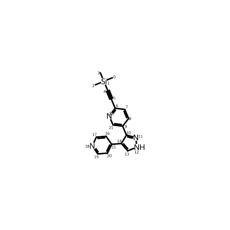 C[Si](C)(C)C#Cc1ccc(-c2n[nH]cc2-c2ccncc2)cn1